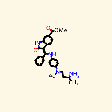 COC(=O)c1ccc2c(c1)NC(=O)C2=C(Nc1ccc(N(CCC(C)N)C(C)=O)cc1)c1ccccc1